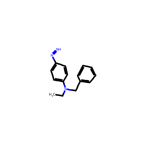 CCN(Cc1ccccc1)c1ccc(N=N)cc1